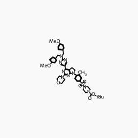 COc1ccc(CN(Cc2ccc(OC)cc2)c2ncc(-c3nc(N4CCOCC4)nc4c3CCN4c3ccc(S(=O)(=O)N4CCN(C(=O)OC(C)(C)C)CC4)cc3C)cn2)cc1